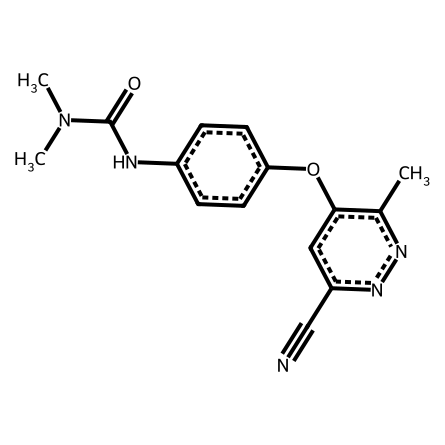 Cc1nnc(C#N)cc1Oc1ccc(NC(=O)N(C)C)cc1